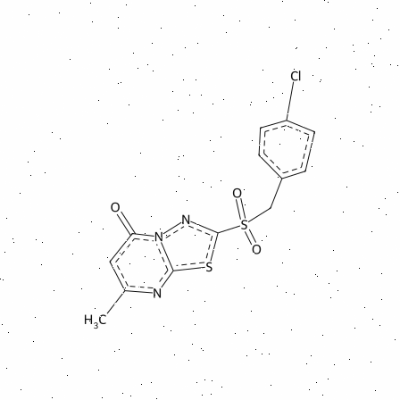 Cc1cc(=O)n2nc(S(=O)(=O)Cc3ccc(Cl)cc3)sc2n1